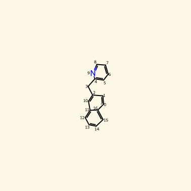 [c]1cc(Cc2ccccn2)cc2ccccc12